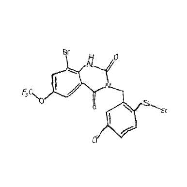 CCSc1ccc(Cl)cc1Cn1c(=O)[nH]c2c(Br)cc(OC(F)(F)F)cc2c1=O